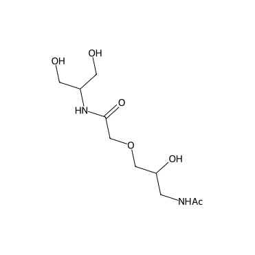 CC(=O)NCC(O)COCC(=O)NC(CO)CO